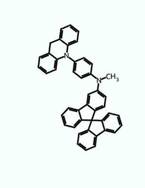 CN(c1ccc(N2c3ccccc3Cc3ccccc32)cc1)c1ccc2c(c1)-c1ccccc1C21c2ccccc2-c2ccccc21